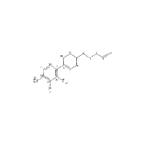 C=CCCCC1CC=C(c2ccc(CC)c(F)c2F)CC1